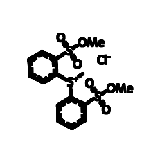 COS(=O)(=O)c1ccccc1[S+](C)c1ccccc1S(=O)(=O)OC.[Cl-]